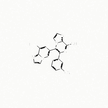 Cc1cc(-c2c(-c3cccc(C#N)c3)nc(N)c3nccn23)cn2ccnc12